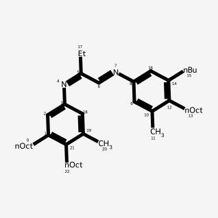 CCCCCCCCc1cc(N=C(C=Nc2cc(C)c(CCCCCCCC)c(CCCC)c2)CC)cc(C)c1CCCCCCCC